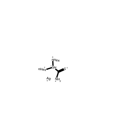 CCCCCC[SH](CCCCCC)C(N)=S.[Ag]